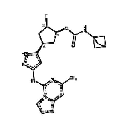 O=C(NC12CC(C1)C2)O[C@H]1C[C@@H](c2cc(Nc3nc(C(F)(F)F)cc4nccn34)n[nH]2)C[C@H]1F